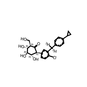 [2H]C([2H])(c1ccc(C2CC2)cc1)c1cc([C@@H]2C(=O)[C@H](CO)[C@@H](O)[C@H](O)[C@H]2O)ccc1Cl